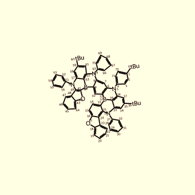 CC(C)(C)c1ccc(N2c3cc4c(cc3B3c5ccc6oc7ccccc7c6c5N(c5ccccc5)c5cc(C(C)(C)C)cc2c53)B2c3oc5ccccc5c3N(c3ccccc3)c3cc(C(C)(C)C)cc(c32)N4c2ccccc2)cc1